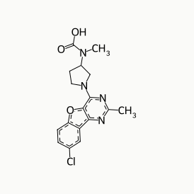 Cc1nc(N2CCC(N(C)C(=O)O)C2)c2oc3ccc(Cl)cc3c2n1